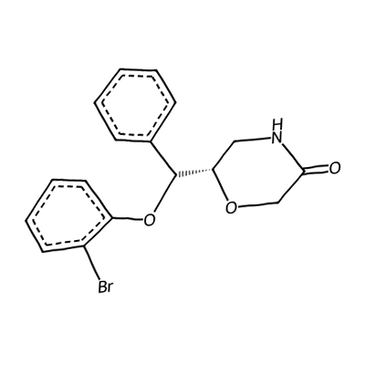 O=C1CO[C@H](C(Oc2ccccc2Br)c2ccccc2)CN1